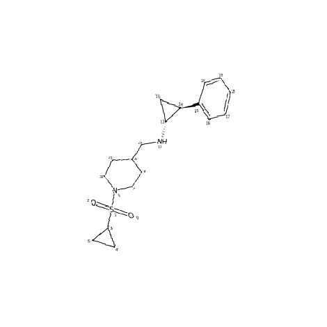 O=S(=O)(C1CC1)N1CCC(CN[C@@H]2C[C@H]2c2ccccc2)CC1